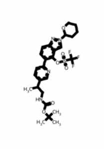 CC(CNC(=O)OC(C)(C)C)c1ccc(-c2ccc3nn(C4CCCCO4)cc3c2OS(=O)(=O)C(F)(F)F)nc1